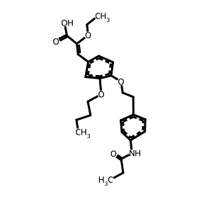 CCCCOc1cc(C=C(OCC)C(=O)O)ccc1OCCc1ccc(NC(=O)CC)cc1